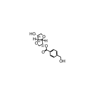 O=C(O[C@@H]1CO[C@H]2[C@@H]1OC[C@H]2O)c1ccc(CO)cc1